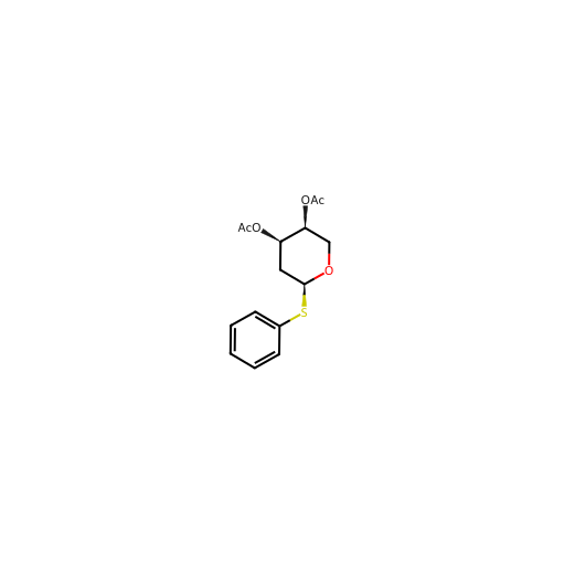 CC(=O)O[C@H]1CO[C@@H](Sc2ccccc2)C[C@H]1OC(C)=O